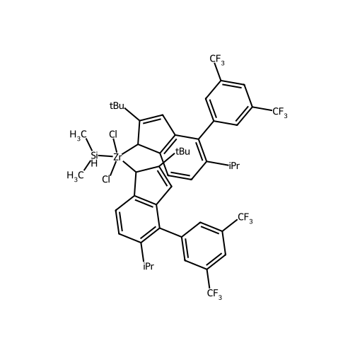 CC(C)c1ccc2c(c1-c1cc(C(F)(F)F)cc(C(F)(F)F)c1)C=C(C(C)(C)C)[CH]2[Zr]([Cl])([Cl])([CH]1C(C(C)(C)C)=Cc2c1ccc(C(C)C)c2-c1cc(C(F)(F)F)cc(C(F)(F)F)c1)[SiH](C)C